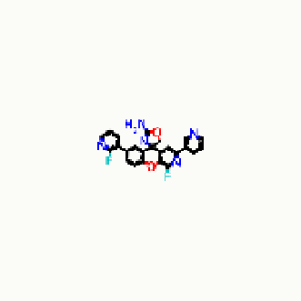 NC1=N[C@@]2(CO1)c1cc(-c3cccnc3F)ccc1Oc1c2cc(-c2cccnc2)nc1F